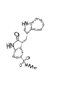 CNS(=O)(=O)c1ccc2c(c1)C(=Cc1c[nH]c3ccccc13)C(=O)N2